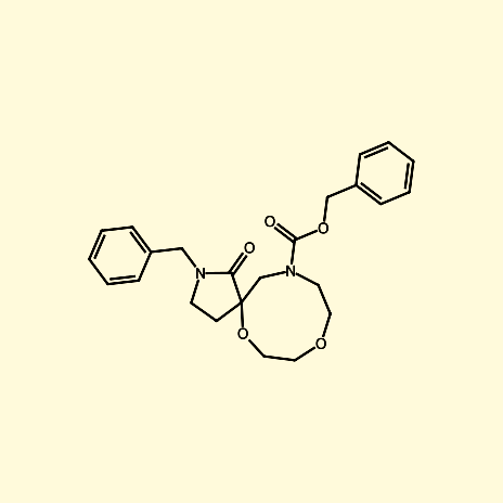 O=C(OCc1ccccc1)N1CCOCCOC2(CCN(Cc3ccccc3)C2=O)C1